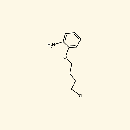 Nc1ccccc1OCCCCCl